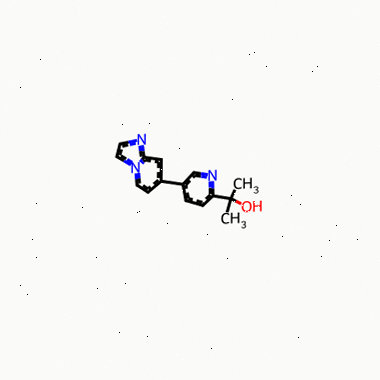 CC(C)(O)c1ccc(-c2ccn3ccnc3c2)cn1